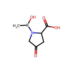 CB(O)N1CC(=O)CC1C(=O)O